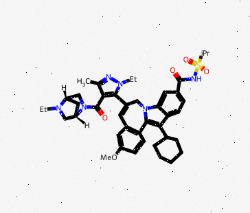 CCN1C[C@@H]2C[C@H]1CN2C(=O)c1c(C)nn(CC)c1C1=Cc2cc(OC)ccc2-c2c(C3CCCCC3)c3ccc(C(=O)NS(=O)(=O)C(C)C)cc3n2C1